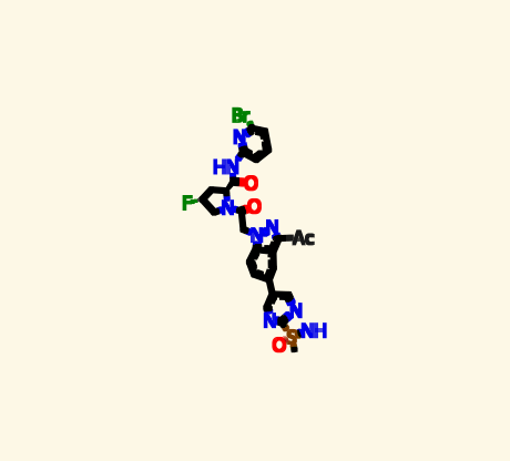 CC(=O)c1nn(CC(=O)N2C[C@H](F)C[C@H]2C(=O)Nc2cccc(Br)n2)c2ccc(-c3cnc(S(C)(=N)=O)nc3)cc12